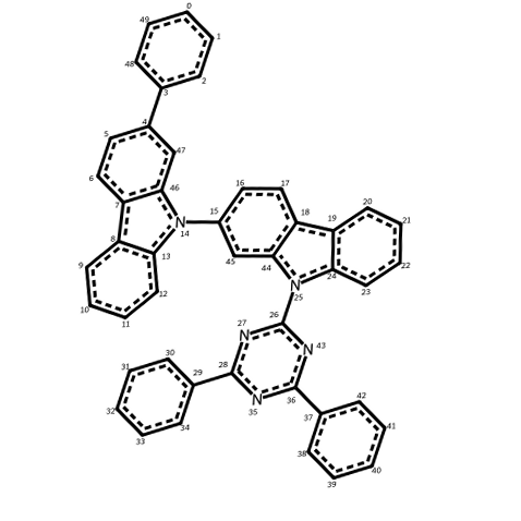 c1ccc(-c2ccc3c4ccccc4n(-c4ccc5c6ccccc6n(-c6nc(-c7ccccc7)nc(-c7ccccc7)n6)c5c4)c3c2)cc1